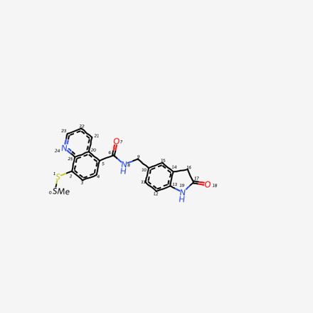 CSSc1ccc(C(=O)NCc2ccc3c(c2)CC(=O)N3)c2cccnc12